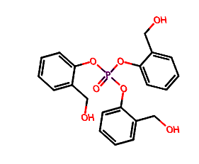 O=P(Oc1ccccc1CO)(Oc1ccccc1CO)Oc1ccccc1CO